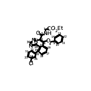 CCOC(=O)CNC(=O)c1c(OCc2ccccc2)c2cccc(-c3cccc(Cl)c3)c2c2ncnn12